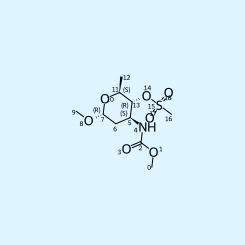 COC(=O)N[C@H]1C[C@H](OC)O[C@@H](C)[C@@H]1OS(C)(=O)=O